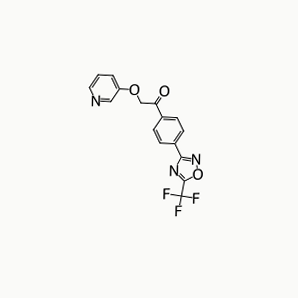 O=C(COc1cccnc1)c1ccc(-c2noc(C(F)(F)F)n2)cc1